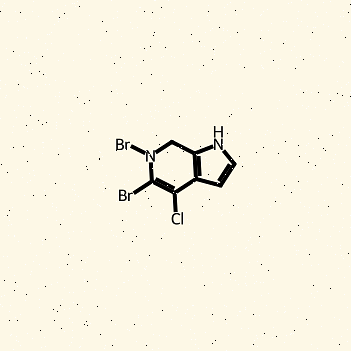 ClC1=C(Br)N(Br)Cc2[nH]ccc21